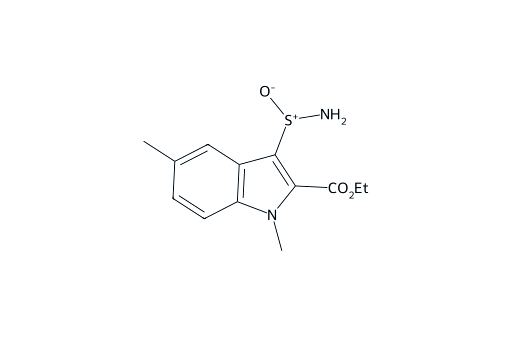 CCOC(=O)c1c([S+](N)[O-])c2cc(C)ccc2n1C